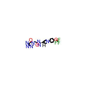 Cn1cnc2ncn(Cc3nc([C@H]4C5=CN(c6ccc(OC(F)(F)F)cc6)C[C@@H]54)no3)c(=O)c21